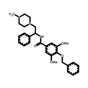 COc1cc(C(=O)NC(CN2CCN(C)CC2)c2ccccc2)cc(OC)c1OCc1ccccc1